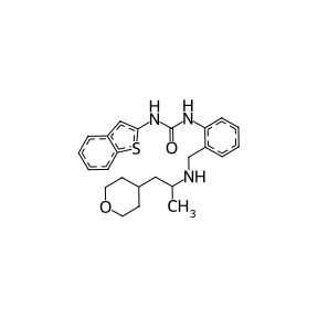 CC(CC1CCOCC1)NCc1ccccc1NC(=O)Nc1cc2ccccc2s1